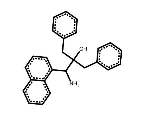 NC(c1cccc2ccccc12)C(O)(Cc1ccccc1)Cc1ccccc1